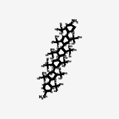 Nc1ccc(-c2cc(C(F)(F)F)c(-c3cc(C(F)(F)F)c(-c4cc(C(F)(F)F)c(-c5cc(C(F)(F)F)c(-c6ccc(N)cc6C(F)(F)F)cc5C(F)(F)F)cc4C(F)(F)F)cc3C(F)(F)F)cc2C(F)(F)F)c(C(F)(F)F)c1